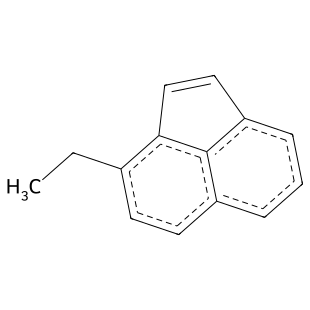 CCc1ccc2cccc3c2c1C=C3